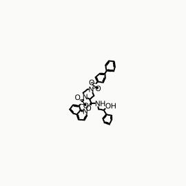 O=C(NCC(O)c1ccccc1)C1CN(S(=O)(=O)c2ccc(-c3ccccc3)cc2)CCN1S(=O)(=O)c1cccc2cccnc12